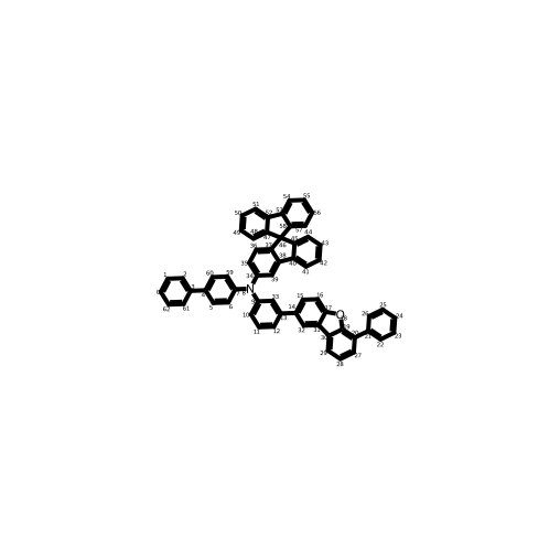 c1ccc(-c2ccc(N(c3cccc(-c4ccc5oc6c(-c7ccccc7)cccc6c5c4)c3)c3ccc4c(c3)-c3ccccc3C43c4ccccc4-c4ccccc43)cc2)cc1